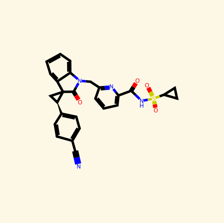 N#Cc1ccc([C@H]2CC23C(=O)N(Cc2cccc(C(=O)NS(=O)(=O)C4CC4)n2)c2ccccc23)cc1